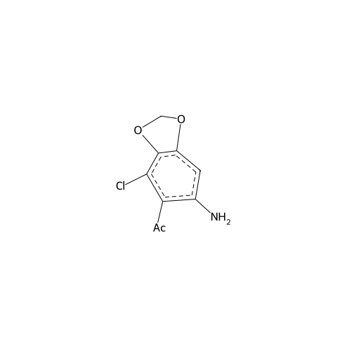 CC(=O)c1c(N)cc2c(c1Cl)OCO2